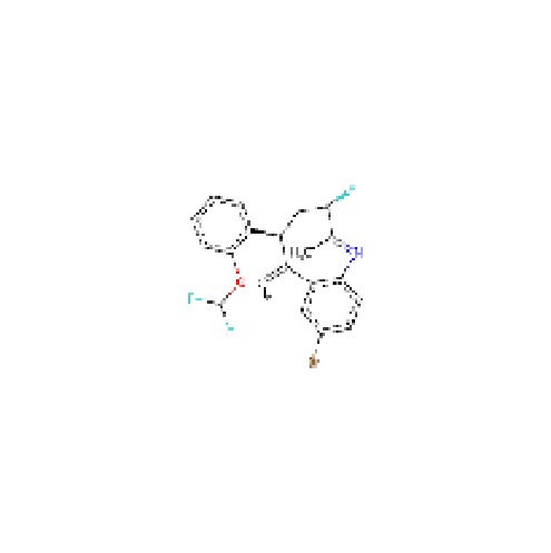 C=C1c2cc(Br)ccc2/N=C(\C)[C@H](F)C[C@@H]1c1ccccc1OC(F)F